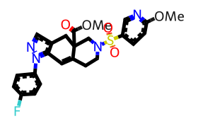 COC(=O)C12Cc3cnn(-c4ccc(F)cc4)c3C=C1CCN(S(=O)(=O)c1ccc(OC)nc1)C2